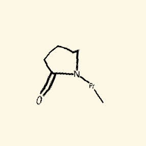 [CH3][Pr][N]1CCCC1=O